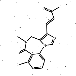 CC(=O)C=Cc1ncn2c1CN(C)C(=O)c1c(Cl)cccc1-2